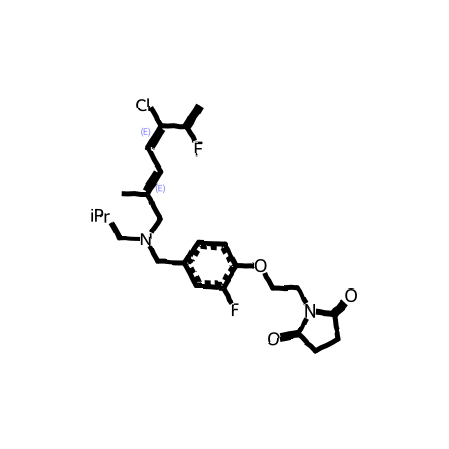 C=C(F)/C(Cl)=C\C=C(/C)CN(Cc1ccc(OCCN2C(=O)CCC2=O)c(F)c1)CC(C)C